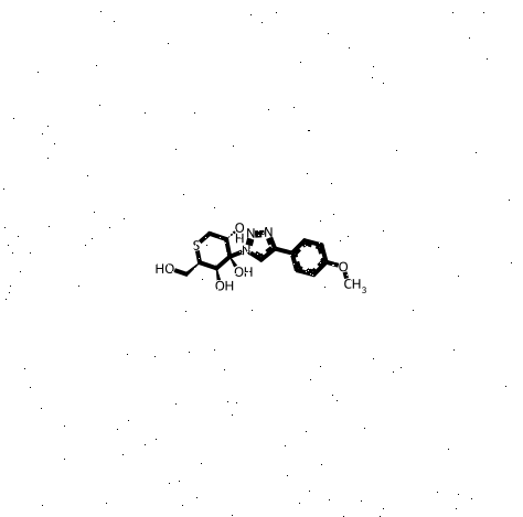 COc1ccc(-c2cn([C@@]3(O)[C@@H](O)CS[C@H](CO)[C@@H]3O)nn2)cc1